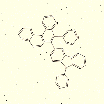 c1ccc(-n2c3ccccc3c3cc(-c4c(-c5ccncc5)c5ncccc5c5c4ccc4ccccc45)ccc32)cc1